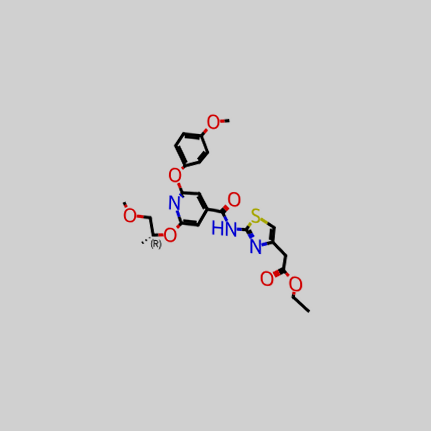 CCOC(=O)Cc1csc(NC(=O)c2cc(Oc3ccc(OC)cc3)nc(O[C@H](C)COC)c2)n1